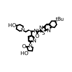 CC(C)(C)[C@H]1CCc2nc3sc(C(=O)N[C@H](CCN4CCC(O)CC4)c4ccc(N5CCC(O)C5=O)nc4)nc3cc2C1